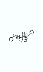 C[C@@H](NCc1ccc(Cl)c(NC(=O)OCc2ccccc2)c1)c1ccccc1